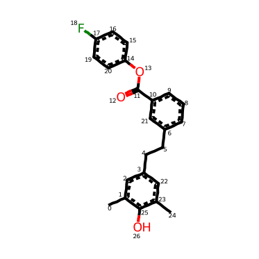 Cc1cc(CCc2cccc(C(=O)Oc3ccc(F)cc3)c2)cc(C)c1O